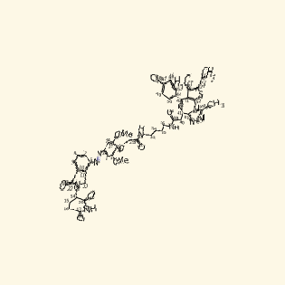 COc1cc(/N=N/c2cccc3c2CN(C2CCC(=O)NC2=O)C3=O)cc(OC)c1OCC(=O)NCCCCNC(=O)CC1N=C(c2ccc(Cl)cc2)c2c(sc(C)c2C)-n2c(C)nnc21